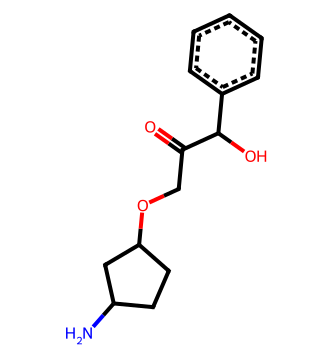 NC1CCC(OCC(=O)C(O)c2ccccc2)C1